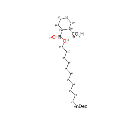 CCCCCCCCCCCCCCCCCCCCCOC(=O)C1CCCCC1C(=O)O